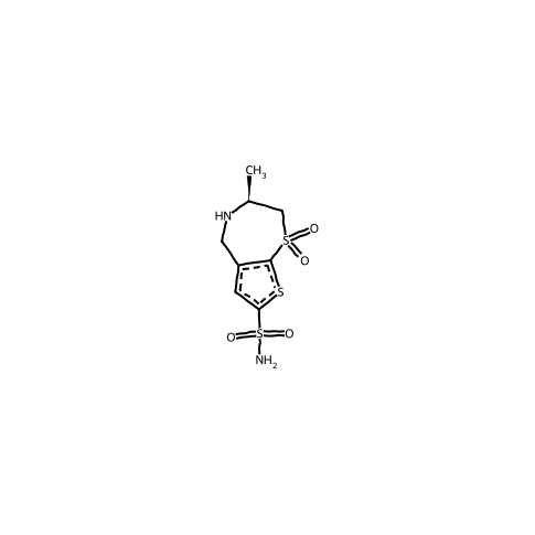 C[C@H]1CS(=O)(=O)c2sc(S(N)(=O)=O)cc2CN1